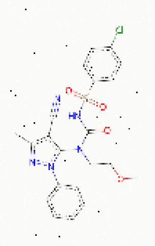 COCCN(C(=O)NS(=O)(=O)c1ccc(Cl)cc1)c1c(C#N)c(C)nn1-c1ccccc1